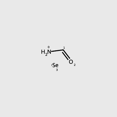 NC=O.[Se]